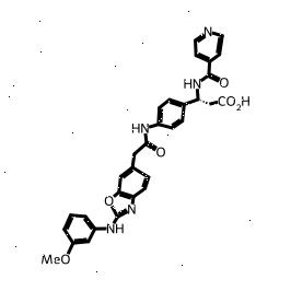 COc1cccc(Nc2nc3ccc(CC(=O)Nc4ccc([C@@H](CC(=O)O)NC(=O)c5ccncc5)cc4)cc3o2)c1